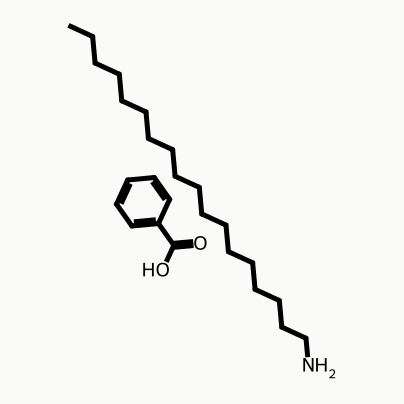 CCCCCCCCCCCCCCCCCCN.O=C(O)c1ccccc1